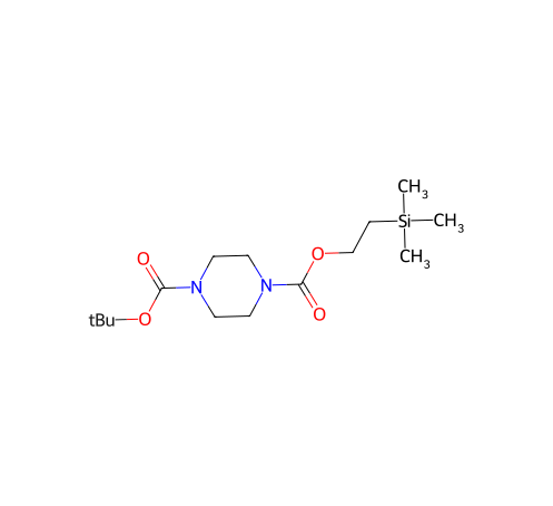 CC(C)(C)OC(=O)N1CCN(C(=O)OCC[Si](C)(C)C)CC1